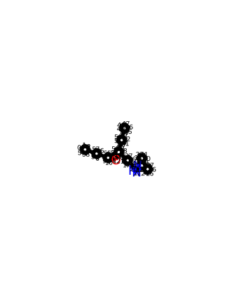 c1ccc(-c2ccc(-c3ccc4oc5c(-c6ccc(-c7nnc8c9ccccc9c9ccccc9n78)cc6)cc(-c6ccc(-c7ccccc7)cc6)cc5c4c3)cc2)cc1